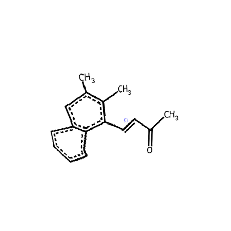 CC(=O)/C=C/c1c(C)c(C)cc2ccccc12